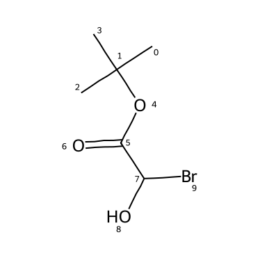 CC(C)(C)OC(=O)C(O)Br